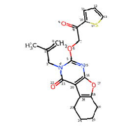 C=C(C)Cn1c(OCC(=O)c2cccs2)nc2oc3c(c2c1=O)CCCC3